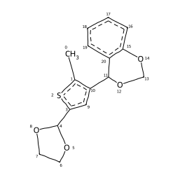 Cc1sc(C2OCCO2)cc1C1OCOc2ccccc21